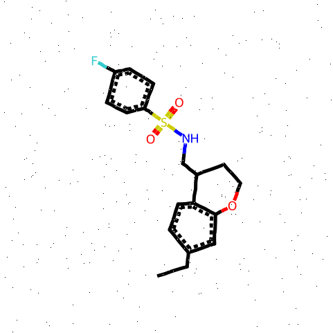 CCc1ccc2c(c1)OCCC2CNS(=O)(=O)c1ccc(F)cc1